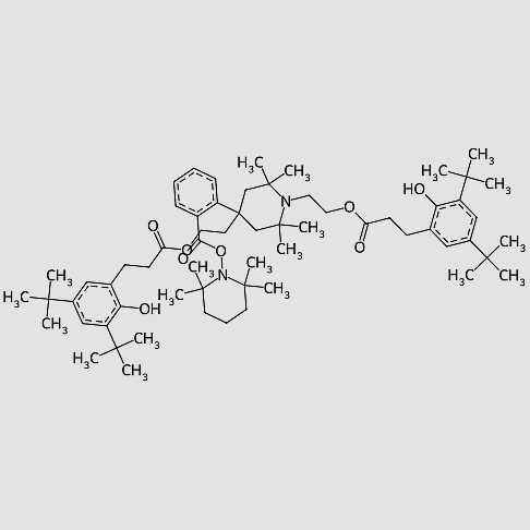 CC(C)(C)c1cc(CCC(=O)OCCN2C(C)(C)CC(CCOC(=O)CCc3cc(C(C)(C)C)cc(C(C)(C)C)c3O)(c3ccccc3C(=O)ON3C(C)(C)CCCC3(C)C)CC2(C)C)c(O)c(C(C)(C)C)c1